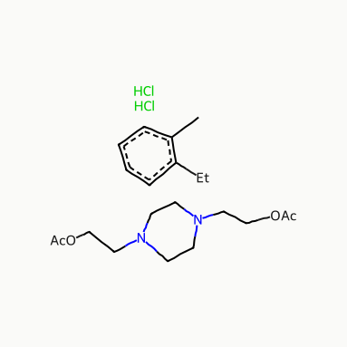 CC(=O)OCCN1CCN(CCOC(C)=O)CC1.CCc1ccccc1C.Cl.Cl